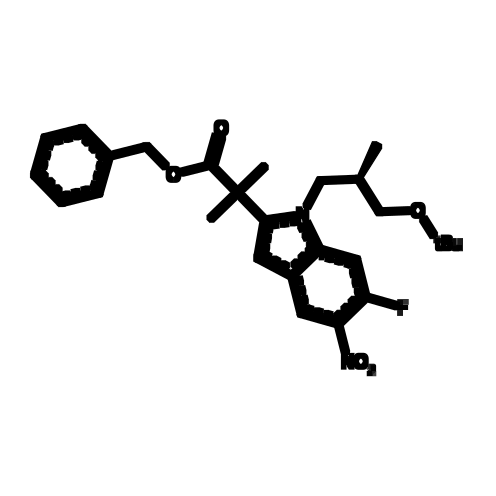 C[C@@H](COC(C)(C)C)Cn1c(C(C)(C)C(=O)OCc2ccccc2)cc2cc([N+](=O)[O-])c(F)cc21